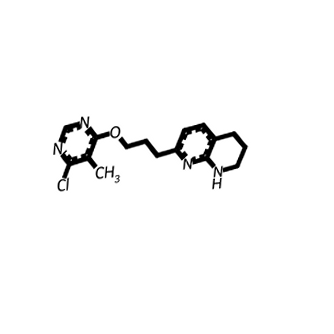 Cc1c(Cl)ncnc1OCCCc1ccc2c(n1)NCCC2